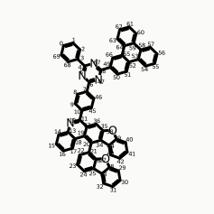 c1ccc(-c2nc(-c3ccc(-c4nc5ccccc5c5c(-c6cccc7c6oc6ccccc67)c6c(cc45)oc4ccccc46)cc3)nc(-c3ccc4c5ccccc5c5ccccc5c4c3)n2)cc1